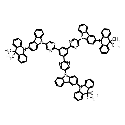 CC1(C)c2ccccc2N(c2ccc3c(c2)c2ccccc2n3-c2cnc(-c3cc(-c4ncc(-n5c6ccccc6c6cc(N7c8ccccc8C(C)(C)c8ccccc87)ccc65)cn4)cc(-c4ncc(-n5c6ccccc6c6cc(N7c8ccccc8C(C)(C)c8ccccc87)ccc65)cn4)c3)nc2)c2ccccc21